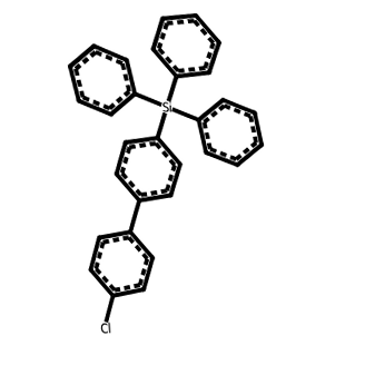 Clc1ccc(-c2ccc([Si](c3ccccc3)(c3ccccc3)c3ccccc3)cc2)cc1